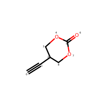 C#CC1COC(=O)OC1